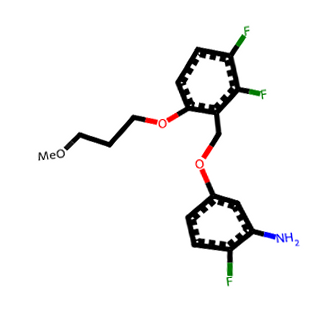 COCCCOc1ccc(F)c(F)c1COc1ccc(F)c(N)c1